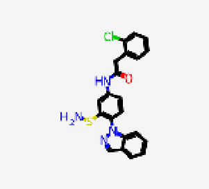 NSc1cc(NC(=O)Cc2ccccc2Cl)ccc1-n1ncc2ccccc21